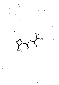 O=C(O)C1CCN1C(=O)OC(Cl)C(Cl)Cl